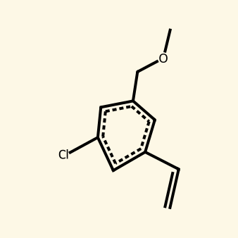 C=Cc1cc(Cl)cc(COC)c1